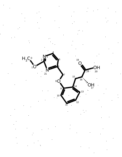 COc1nccc(COc2ccccc2C[C@@H](O)C(=O)O)n1